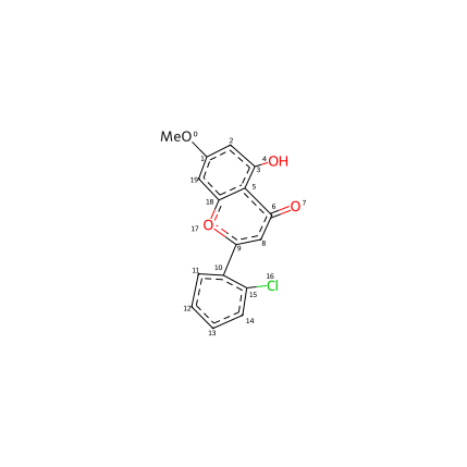 COc1cc(O)c2c(=O)cc(-c3ccccc3Cl)oc2c1